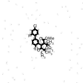 CCc1ccc(-c2ccc(Cl)cc2F)cc1C1=C(C(=O)OC)C(C)(C)OC(C)(C)C1=O